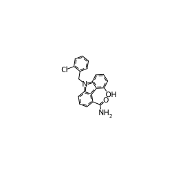 NC(=O)c1cccc2c1c1c(O)cccc1n2Cc1ccccc1Cl